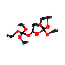 CCCCO[Si](OCCCC)(OCCCC)OC([SiH3])O[Si](OCCCC)(OCCCC)OCCCC